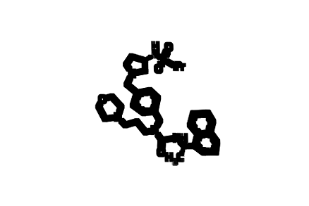 CC(C)S(=O)(=O)N[C@H]1CCN(Cc2ccc(CN(CCCN3CCOCC3)C(=O)N[C@@H](C)c3cccc4ccccc34)cc2)C1